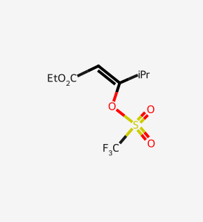 CCOC(=O)C=C(OS(=O)(=O)C(F)(F)F)C(C)C